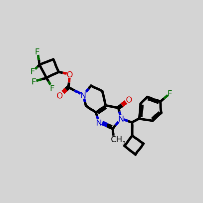 Cc1nc2c(c(=O)n1C(c1ccc(F)cc1)C1CCC1)CCN(C(=O)OC1CC(F)(F)C1(F)F)C2